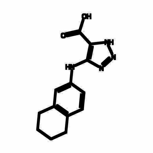 O=C(O)c1[nH]nnc1Nc1ccc2c(c1)CCCC2